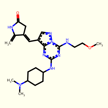 C=C1NC(=O)C/C1=C\c1cnn2c(NCCOC)nc(NC3CCC(N(C)C)CC3)nc12